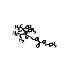 CCOC(=O)OCCO[Si](C)(C)C(C)(C)C